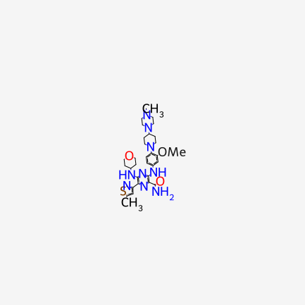 COc1cc(Nc2nc(NC3CCOCC3)c(-c3cc(C)sn3)nc2C(N)=O)ccc1N1CCC(N2CCN(C)CC2)CC1